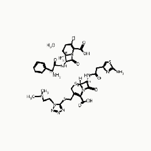 CN(C)CCn1nnnc1SCC1=C(C(=O)O)N2C(=O)[C@@H](NC(=O)Cc3csc(N)n3)[C@H]2SC1.N[C@@H](C(=O)N[C@@H]1C(=O)N2C(C(=O)O)=C(Cl)CC[C@H]12)c1ccccc1.O